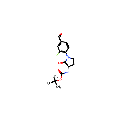 CC(C)(C)OC(=O)N[C@H]1CCN(c2ccc(C=O)cc2F)C1=O